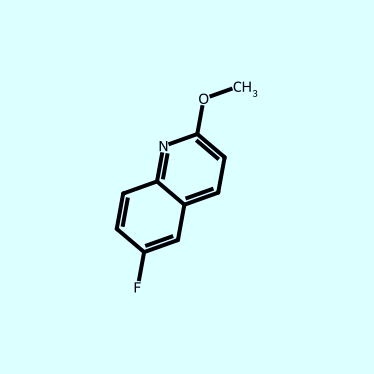 COc1ccc2cc(F)ccc2n1